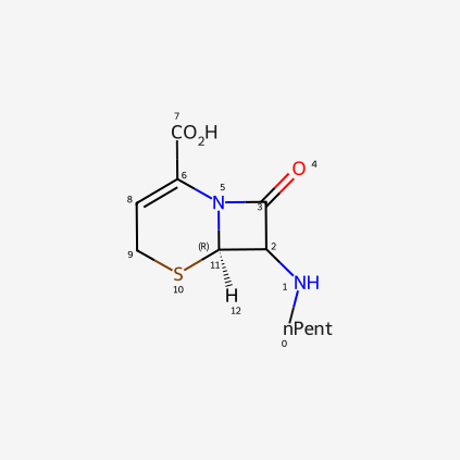 CCCCCNC1C(=O)N2C(C(=O)O)=CCS[C@H]12